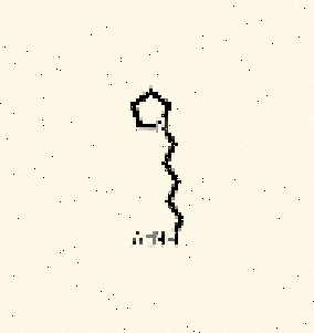 CC(=O)NCCCCCN1C[CH]CC1